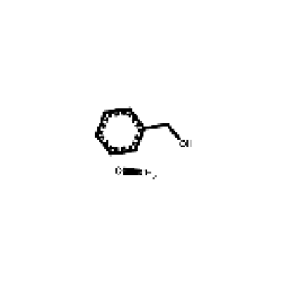 C=O.OCc1ccccc1